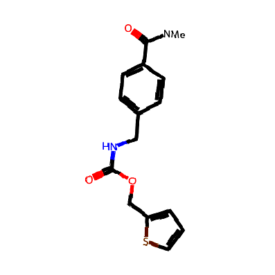 CNC(=O)c1ccc(CNC(=O)OCc2cccs2)cc1